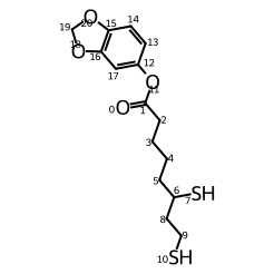 O=C(CCCCC(S)CCS)Oc1ccc2c(c1)OCO2